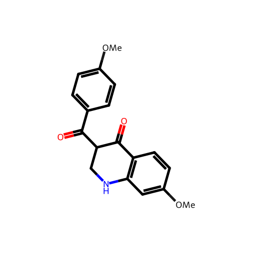 COc1ccc(C(=O)C2CNc3cc(OC)ccc3C2=O)cc1